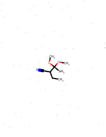 CCC(C#N)C([SiH3])(OC)OC